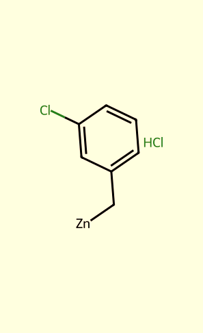 Cl.Clc1cccc([CH2][Zn])c1